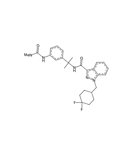 CNC(=O)Nc1cccc(C(C)(C)NC(=O)c2nn(CC3CCC(F)(F)CC3)c3ccccc23)c1